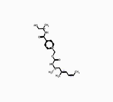 C/C=C\C=C(/C)C[C@H](C)NC(=O)OC[n+]1ccc(C(=O)N[C@H](C)CO)cc1